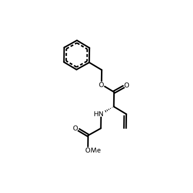 C=C[C@H](NCC(=O)OC)C(=O)OCc1ccccc1